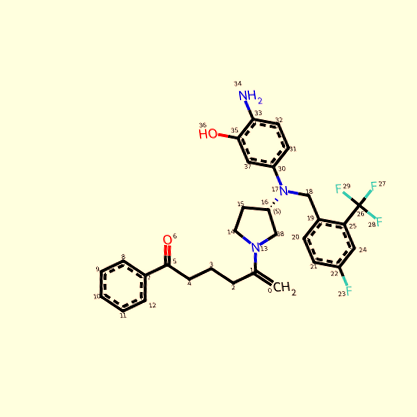 C=C(CCCC(=O)c1ccccc1)N1CC[C@H](N(Cc2ccc(F)cc2C(F)(F)F)c2ccc(N)c(O)c2)C1